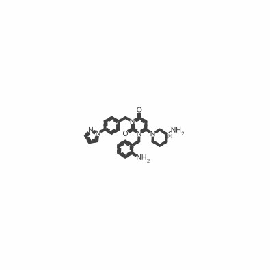 Nc1ccccc1Cn1c(N2CCC[C@@H](N)C2)cc(=O)n(Cc2ccc(-n3cccn3)cc2)c1=O